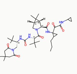 CCCC1CC1(NC(=O)[C@@H]1[C@@H]2[C@H](CN1C(=O)[C@@H](NC(=O)N[C@H](CN1C(=O)CC(C)(C)CC1=O)C(C)(C)C)C(C)(C)C)C2(C)C)C(=O)C(=O)NC1CC1